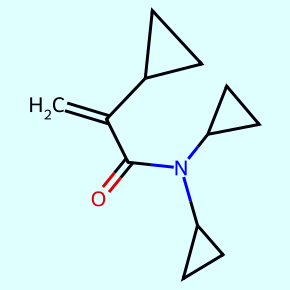 C=C(C(=O)N(C1CC1)C1CC1)C1CC1